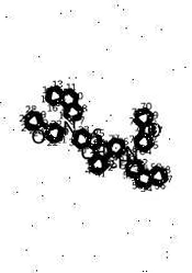 CC12CC=C(N(c3ccc4ccc5ccccc5c4c3)c3ccc4oc5ccccc5c4c3)C=C1SC1=C2c2ccccc2C2(C)C=C(N(c3ccc4ccc5ccccc5c4c3)c3ccc4oc5ccccc5c4c3)CCC12